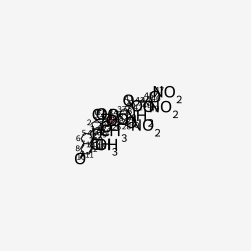 C[C@H]1CC2C3CCC4=CC(=O)C=C[C@]4(C)[C@@]3(F)[C@@H](O)C[C@]2(C)[C@@]1(OC(=O)CCCO[N+](=O)[O-])C(=O)COC(=O)CC(N)C(=O)OCC(CO[N+](=O)[O-])O[N+](=O)[O-]